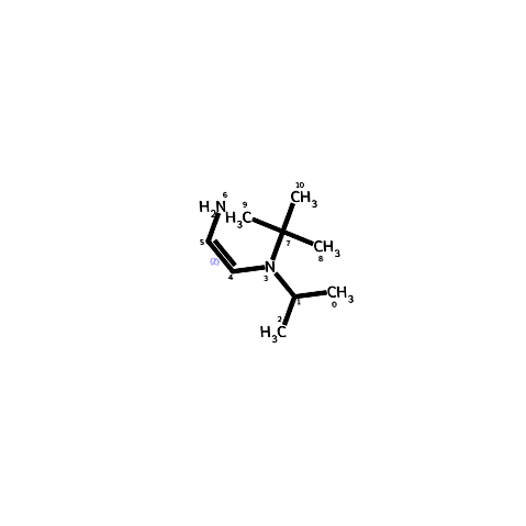 CC(C)N(/C=C\N)C(C)(C)C